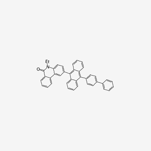 CCn1c(=O)c2ccccc2c2cc(-c3c4ccccc4c(-c4ccc(-c5ccccc5)cc4)c4ccccc34)ccc21